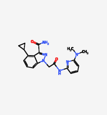 CN(C)c1cccc(NC(=O)Cn2nc(C(N)=O)c3c(C4CC4)cccc32)n1